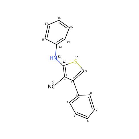 N#Cc1c(-c2ccccc2)csc1Nc1ccccc1